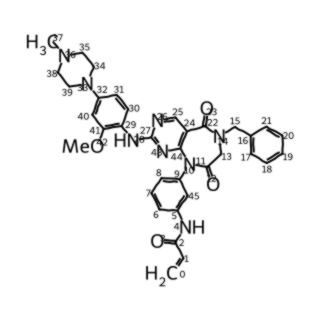 C=CC(=O)Nc1cccc(N2C(=O)CN(Cc3ccccc3)C(=O)c3cnc(Nc4ccc(N5CCN(C)CC5)cc4OC)nc32)c1